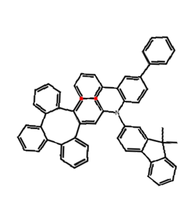 CC1(C)c2ccccc2-c2ccc(N(c3ccc4c(c3)-c3ccccc3-c3ccccc3-c3ccccc3-4)c3ccc(-c4ccccc4)cc3-c3ccccc3)cc21